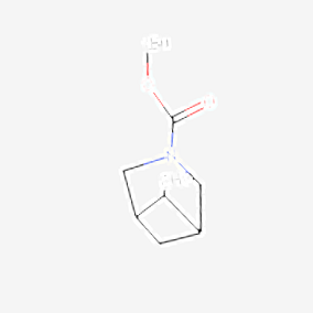 CC(C)(C)OC(=O)N1CC2CC(C1)C2C=O